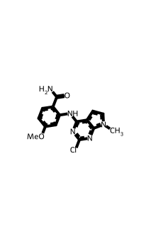 COc1ccc(C(N)=O)c(Nc2nc(Cl)nc3c2ccn3C)c1